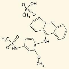 COc1cc(NS(C)(=O)=O)ccc1Nc1c2ccccc2nc2ccccc12.CS(=O)(=O)O